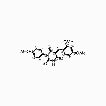 COc1ccc(N2C(=O)NC(=O)/C(=C\c3ccc(OC)cc3OC)C2=O)cc1